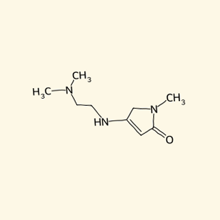 CN(C)CCNC1=CC(=O)N(C)C1